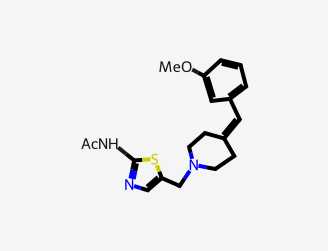 COc1cccc(C=C2CCN(Cc3cnc(NC(C)=O)s3)CC2)c1